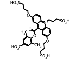 Cc1cc(C(=O)O)cc(C)c1OC(=O)c1c2cc(OCCCS(=O)(=O)O)ccc2[n+](CCCS(=O)(=O)O)c2ccc(OCCCS(=O)(=O)O)cc12